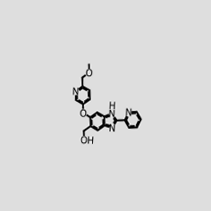 COCc1ccc(Oc2cc3[nH]c(-c4ccccn4)nc3cc2CO)cn1